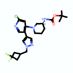 CC(C)(C)OC(=O)N[C@H]1CCCN(c2cc(Cl)ncc2-c2cnn(CC3CC(F)(F)C3)c2)C1